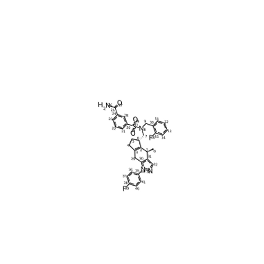 C[C@@H]1C2=C(CC[C@@H]2CN(Cc2ccccc2F)S(=O)(=O)c2cccc(C(N)=O)c2)Cc2c1cnn2-c1ccc(F)cc1